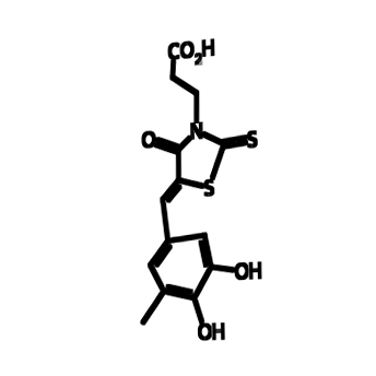 Cc1cc(/C=C2\SC(=S)N(CCC(=O)O)C2=O)cc(O)c1O